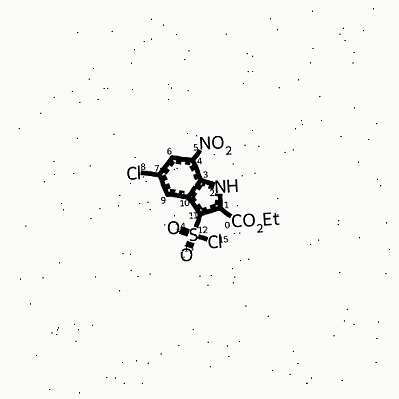 CCOC(=O)c1[nH]c2c([N+](=O)[O-])cc(Cl)cc2c1S(=O)(=O)Cl